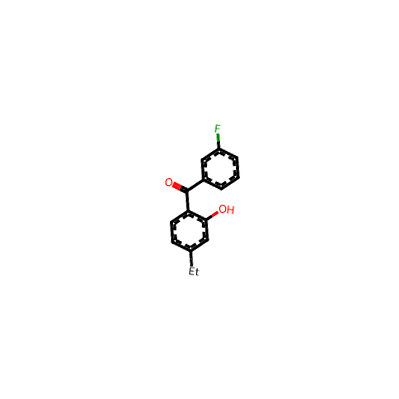 CCc1ccc(C(=O)c2cccc(F)c2)c(O)c1